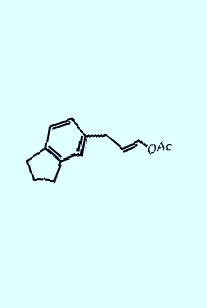 CC(=O)OC=CCc1ccc2c(c1)CCC2